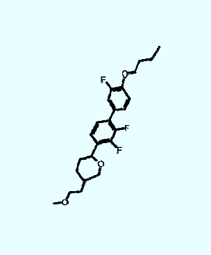 CCCCOc1ccc(-c2ccc(C3CCC(CCOC)CO3)c(F)c2F)cc1F